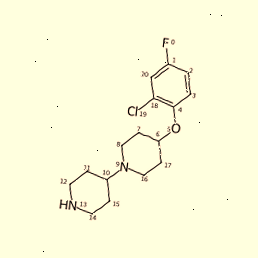 Fc1ccc(OC2CCN(C3CCNCC3)CC2)c(Cl)c1